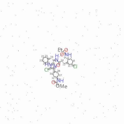 CCS(=O)(=O)NCc1ccc(Cl)cc1CCC(=O)N[C@@H](Cc1ccccc1)c1nc(-c2ccc(NC(=O)OC)cc2)c(Cl)[nH]1